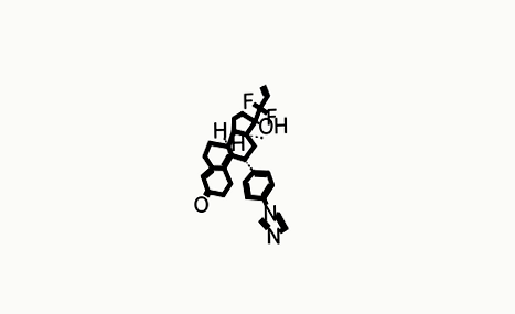 C=CC(F)(F)[C@]1(O)CC[C@H]2[C@@H]3CCC4=CC(=O)CCC4=C3[C@@H](c3ccc(-n4ccnc4)cc3)C[C@@]21C